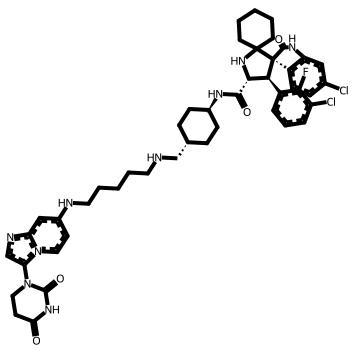 O=C1CCN(c2cnc3cc(NCCCCCNC[C@H]4CC[C@H](NC(=O)[C@@H]5NC6(CCCCC6)[C@@]6(C(=O)Nc7cc(Cl)ccc76)[C@H]5c5cccc(Cl)c5F)CC4)ccn23)C(=O)N1